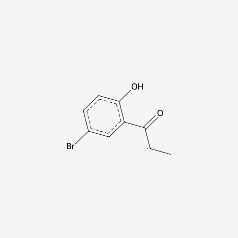 C[CH]C(=O)c1cc(Br)ccc1O